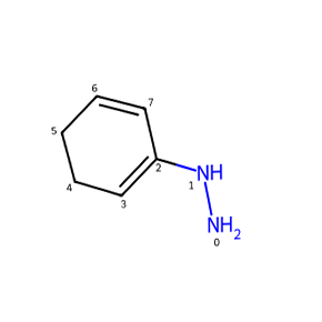 NNC1=CCCC=C1